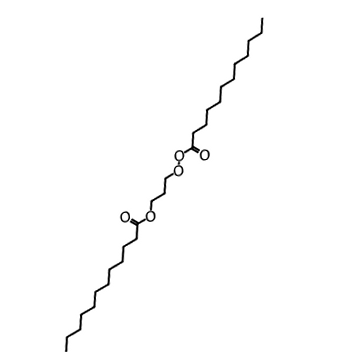 CCCCCCCCCCCC(=O)OCCCOOC(=O)CCCCCCCCCCC